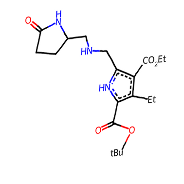 CCOC(=O)c1c(CNCC2CCC(=O)N2)[nH]c(C(=O)OC(C)(C)C)c1CC